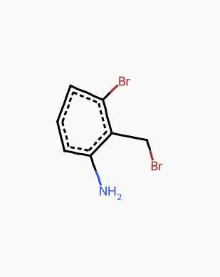 Nc1cccc(Br)c1CBr